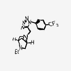 CCN1C[C@@H]2C[C@H]1CN2Cc1nnnn1-c1ccc(C(F)(F)F)cc1